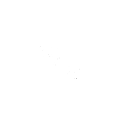 CNC(=O)c1cc(F)c(C[C@@H](CNC(=O)[C@@H]2[C@H](C)C2(C)c2ccccc2)N(C)C)cc1F